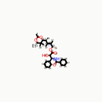 CC[C@@H]1OC(C)O[C@@H]([C@@H](C)/C(C)=C(\C)[C@H](C)OC(=O)[C@H](O)[C@@H](NC(=O)c2ccccc2)c2ccccc2)C1(C)C